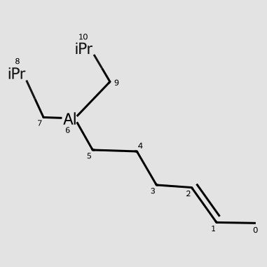 C/C=C/CC[CH2][Al]([CH2]C(C)C)[CH2]C(C)C